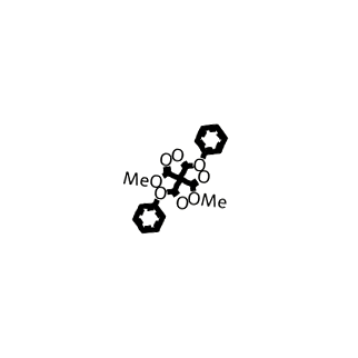 COC(=O)C(C(=O)OC)(C(=O)Oc1ccccc1)C(=O)Oc1ccccc1